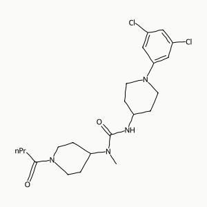 CCCC(=O)N1CCC(N(C)C(=O)NC2CCN(c3cc(Cl)cc(Cl)c3)CC2)CC1